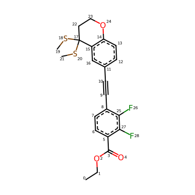 CCOC(=O)c1ccc(C#Cc2ccc3c(c2)C(SC)(SC)CCO3)c(F)c1F